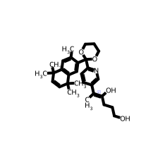 C/C(=C(/O)CCCO)c1ccc(C2(c3cc4c(cc3C)C(C)(C)C=CC4(C)C)OCCCO2)nc1